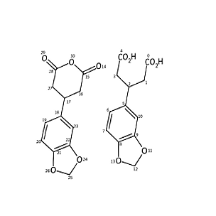 O=C(O)CC(CC(=O)O)c1ccc2c(c1)OCO2.O=C1CC(c2ccc3c(c2)OCO3)CC(=O)O1